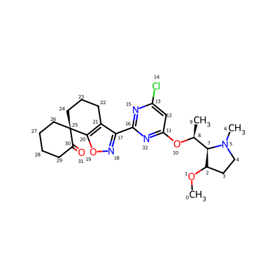 COC1CCN(C)[C@@H]1[C@H](C)Oc1cc(Cl)nc(-c2noc3c2CCC[C@@]32CCCCC2=O)n1